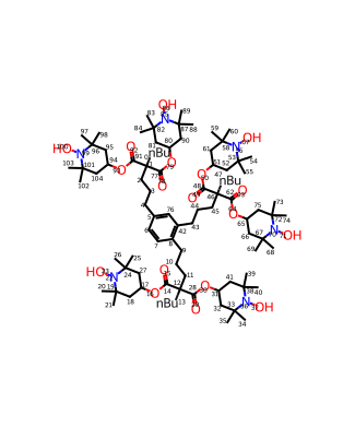 CCCCC(CCCc1ccc(CCCC(CCCC)(C(=O)OC2CC(C)(C)N(O)C(C)(C)C2)C(=O)OC2CC(C)(C)N(O)C(C)(C)C2)c(CCCC(CCCC)(C(=O)OC2CC(C)(C)N(O)C(C)(C)C2)C(=O)OC2CC(C)(C)N(O)C(C)(C)C2)c1)(C(=O)OC1CC(C)(C)N(O)C(C)(C)C1)C(=O)OC1CC(C)(C)N(O)C(C)(C)C1